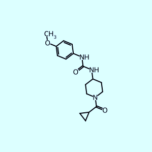 COc1ccc(NC(=O)NC2CCN(C(=O)C3CC3)CC2)cc1